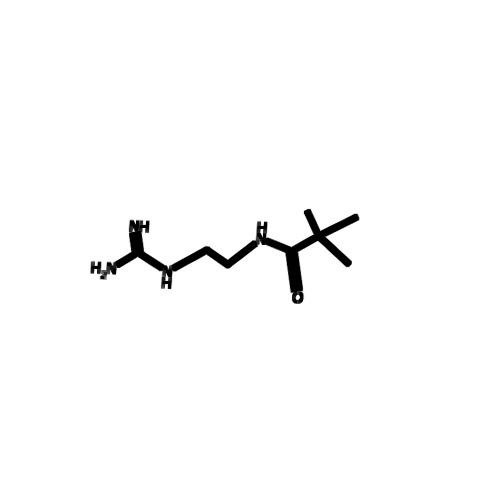 CC(C)(C)C(=O)NCCNC(=N)N